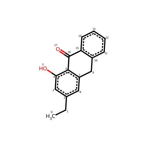 CCc1cc(O)c2c(c1)Cc1ccccc1C2=O